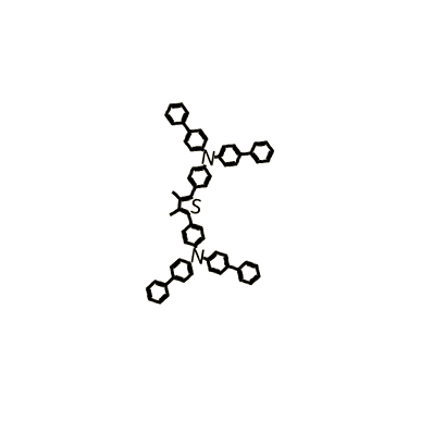 Cc1c(-c2ccc(N(c3ccc(-c4ccccc4)cc3)c3ccc(-c4ccccc4)cc3)cc2)sc(-c2ccc(N(c3ccc(-c4ccccc4)cc3)c3ccc(-c4ccccc4)cc3)cc2)c1C